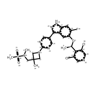 C[C@@H](Oc1cc2c(-c3cnc(N4CC(C)(CN(C)S(C)(=O)=O)C4)nc3)n[nH]c2cc1F)c1c(Cl)cncc1Cl